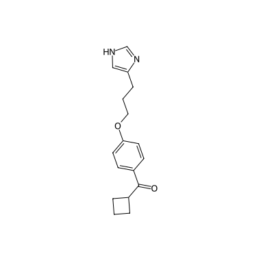 O=C(c1ccc(OCCCc2c[nH]cn2)cc1)C1CCC1